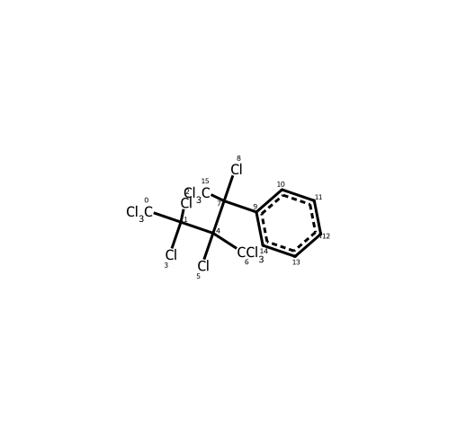 ClC(Cl)(Cl)C(Cl)(Cl)C(Cl)(C(Cl)(Cl)Cl)C(Cl)(c1cc[c]cc1)C(Cl)(Cl)Cl